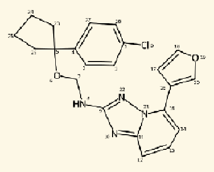 Clc1ccc(C2(OCNc3nc4cccc(-c5ccoc5)n4n3)CCCC2)cc1